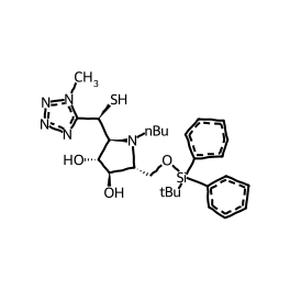 CCCCN1[C@H]([C@H](S)c2nnnn2C)[C@@H](O)[C@H](O)[C@H]1CO[Si](c1ccccc1)(c1ccccc1)C(C)(C)C